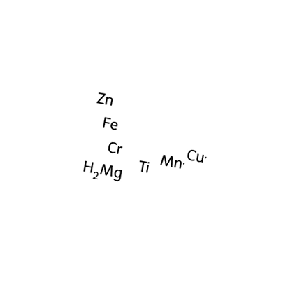 [Cr].[Cu].[Fe].[MgH2].[Mn].[Ti].[Zn]